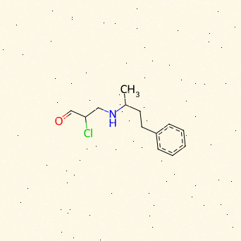 CC(CCc1ccccc1)NCC(Cl)C=O